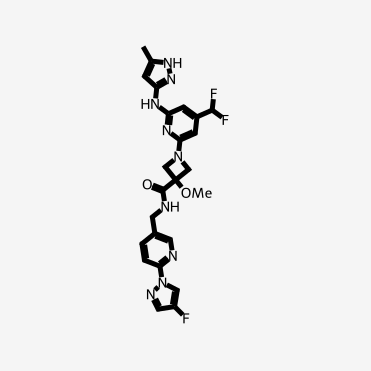 COC1(C(=O)NCc2ccc(-n3cc(F)cn3)nc2)CN(c2cc(C(F)F)cc(Nc3cc(C)[nH]n3)n2)C1